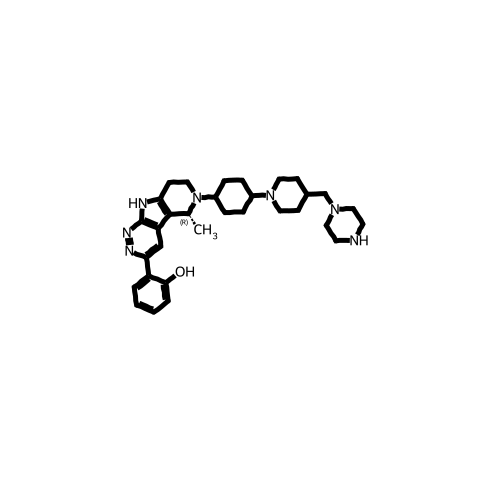 C[C@@H]1c2c([nH]c3nnc(-c4ccccc4O)cc23)CCN1C1CCC(N2CCC(CN3CCNCC3)CC2)CC1